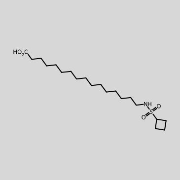 O=C(O)CCCCCCCCCCCCCCCNS(=O)(=O)C1CCC1